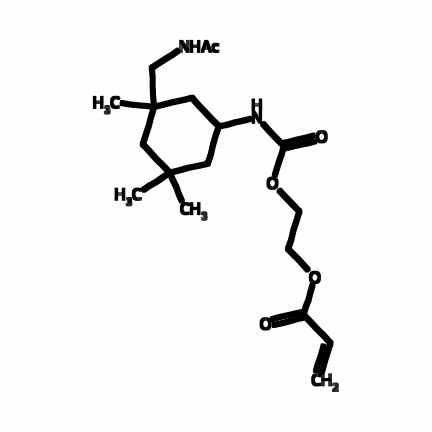 C=CC(=O)OCCOC(=O)NC1CC(C)(C)CC(C)(CNC(C)=O)C1